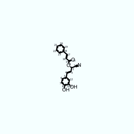 N#CC(C=Cc1ccc(O)c(O)c1)OC(=O)C=Cc1ccccc1